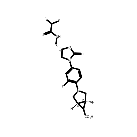 O=C(O)C1[C@H]2CN(c3ccc(N4C[C@H](CNC(=S)C(F)F)OC4=O)cc3F)C[C@@H]12